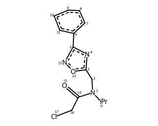 CC(C)N(Cc1nc(-c2ccccc2)no1)C(=O)CCl